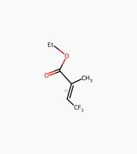 CCOC(=O)/C(C)=C/C(F)(F)F